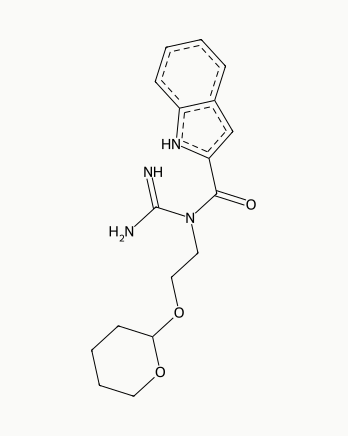 N=C(N)N(CCOC1CCCCO1)C(=O)c1cc2ccccc2[nH]1